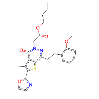 CCCCOC(=O)Cn1nc(CCc2ccccc2OC)c2sc(-c3ncco3)c(C)c2c1=O